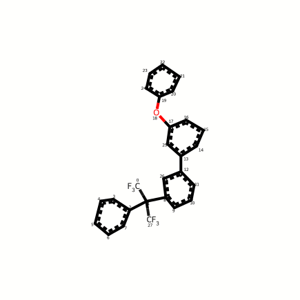 FC(F)(F)C(c1ccccc1)(c1cccc(-c2cccc(Oc3ccccc3)c2)c1)C(F)(F)F